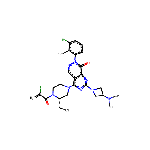 C=C(F)C(=O)N1CCN(c2nc(N3CC(N(CCC)CCC)C3)nc3c(=O)n(-c4cccc(Br)c4C(F)(F)F)ncc23)C[C@@H]1CC#N